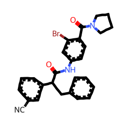 N#Cc1cccc(C(Cc2ccccc2)C(=O)Nc2ccc(C(=O)N3CCCC3)c(Br)c2)c1